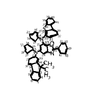 CC1(C)c2ccccc2-c2ccc(N(c3ccccc3)c3cc(N(c4ccccc4)c4cccc5c4sc4ccccc45)c4oc(-c5ccccc5)nc4c3)cc21